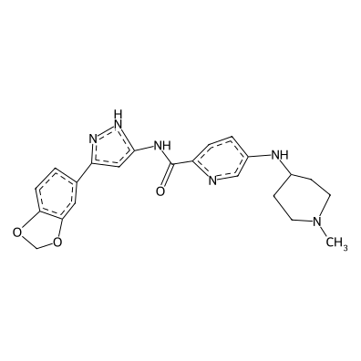 CN1CCC(Nc2ccc(C(=O)Nc3cc(-c4ccc5c(c4)OCO5)n[nH]3)nc2)CC1